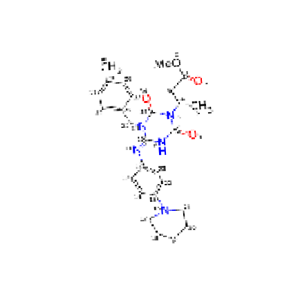 COC(=O)C[C@H](C)n1c(=O)[nH]/c(=N\c2ccc(N3CCCCC3)cc2)n(Cc2ccc(C)cc2)c1=O